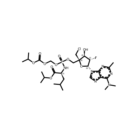 Cc1nc(N(C)C)c2ncn([C@@H]3O[C@](CCl)(COP(=O)(N[C@@H](CC(C)C)C(=O)OC(C)C)OCOC(=O)OC(C)C)[C@@H](O)[C@@H]3F)c2n1